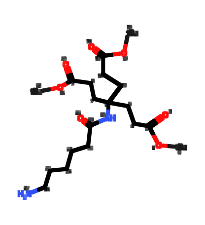 CC(C)(C)OC(=O)CCC(CCC(=O)OC(C)(C)C)(CCC(=O)OC(C)(C)C)NC(=O)CCCCCN